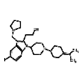 CC(C)=C1CCC(N2CCC(n3c(CCO)c(CN4CCCC4)c4cc(F)ccc43)CC2)CC1